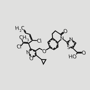 C=C/C=C(Cl)\C(=C(/C)Cl)c1noc(C2CC2)c1COc1ccc2c(c1)CCC(=O)N2c1ncc(C(=O)O)s1